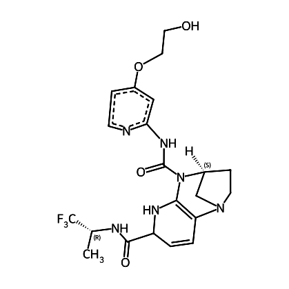 C[C@@H](NC(=O)C1C=CC2=C(N1)N(C(=O)Nc1cc(OCCO)ccn1)[C@H]1CCN2C1)C(F)(F)F